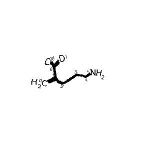 C=C(CCCN)C(=O)Cl